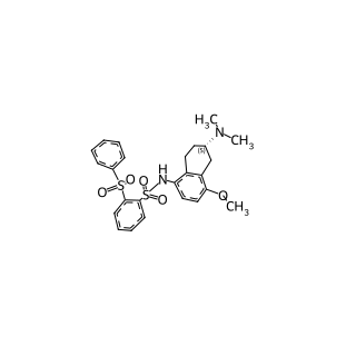 COc1ccc(NS(=O)(=O)c2ccccc2S(=O)(=O)c2ccccc2)c2c1C[C@@H](N(C)C)CC2